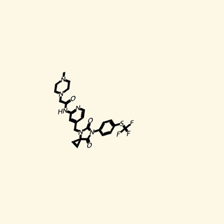 CN1CCN(CC(=O)Nc2cc(CN3C(=O)N(c4ccc(SC(F)(F)F)cc4)C(=O)C34CC4)ccn2)CC1